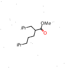 COC(=O)C(CCCC(C)C)CC(C)C